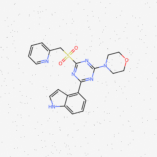 O=S(=O)(Cc1ccccn1)c1nc(-c2cccc3[nH]ccc23)nc(N2CCOCC2)n1